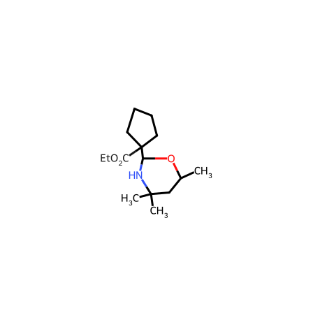 CCOC(=O)C1(C2NC(C)(C)CC(C)O2)CCCC1